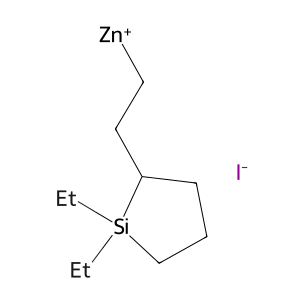 CC[Si]1(CC)CCCC1C[CH2][Zn+].[I-]